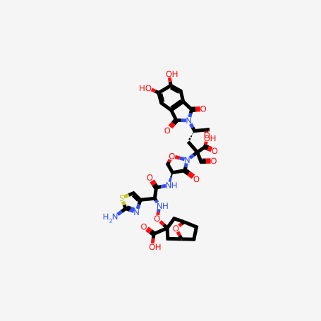 Nc1nc(C(NOC2(C(=O)O)CC3CCC(C2)O3)C(=O)N[C@H]2CON(C(C=O)(C[C@@H](C=O)N3C(=O)c4cc(O)c(O)cc4C3=O)C(=O)O)C2=O)cs1